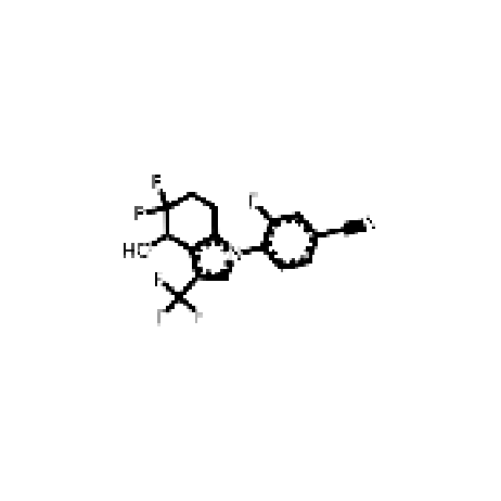 N#Cc1ccc(-n2cc(C(F)(F)F)c3c2CCC(F)(F)C3O)c(F)c1